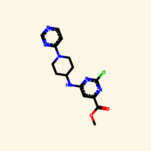 COC(=O)c1cc(NC2CCN(c3ccncn3)CC2)nc(Cl)n1